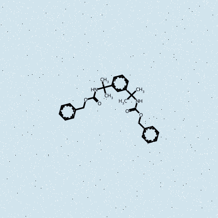 CC(C)(NC(=O)OCc1ccccc1)c1cccc(C(C)(C)NC(=O)OCc2ccccc2)c1